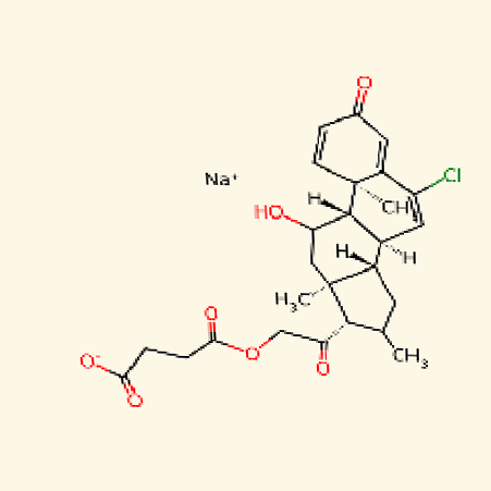 CC1C[C@H]2[C@@H]3C=C(Cl)C4=CC(=O)C=C[C@]4(C)[C@H]3C(O)C[C@]2(C)[C@H]1C(=O)COC(=O)CCC(=O)[O-].[Na+]